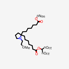 CCCCCCCCCOC(=O)CCCCCCC1(CCCCCCC(=O)OC(CCCCCCCC)CCCCCCCC)CCCN1CCOC